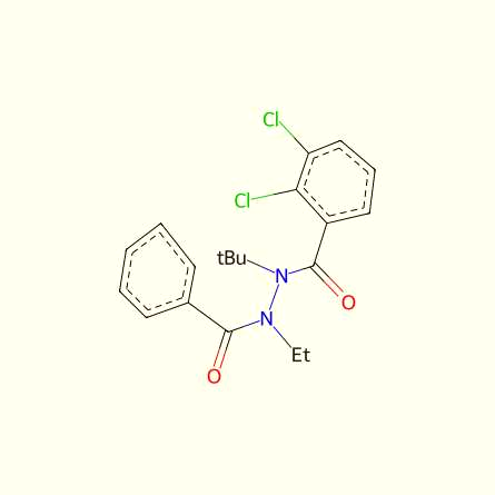 CCN(C(=O)c1ccccc1)N(C(=O)c1cccc(Cl)c1Cl)C(C)(C)C